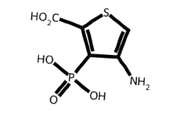 Nc1csc(C(=O)O)c1P(=O)(O)O